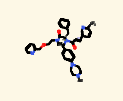 CC(=O)N1CCN(c2ccc(CN(C(=O)/C=C/c3ccc(C(F)(F)F)nc3)[C@@H](Cc3ccccc3)C(=O)N(C)CCOCc3ccccn3)cc2)CC1